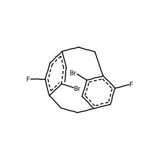 Fc1cc2cc(Br)c1CCc1cc(F)c(c(Br)c1)CC2